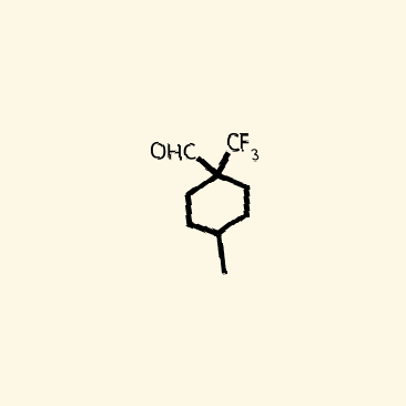 CC1CCC(C=O)(C(F)(F)F)CC1